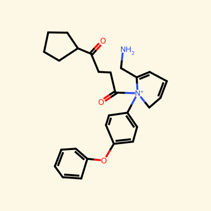 NCC1=CC=CC[N+]1(C(=O)CCC(=O)C1CCCC1)c1ccc(Oc2ccccc2)cc1